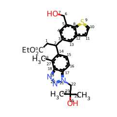 CCOC(=O)CC(c1cc(CO)c2sccc2c1)c1ccc2c(nnn2CC(C)(C)O)c1C